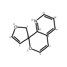 C1=CC2(CO1)OC=Cc1cccnc12